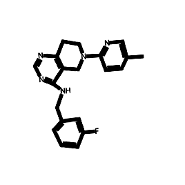 Cc1ccc(N2CCc3ncnc(NCc4cccc(F)c4)c3C2)nc1